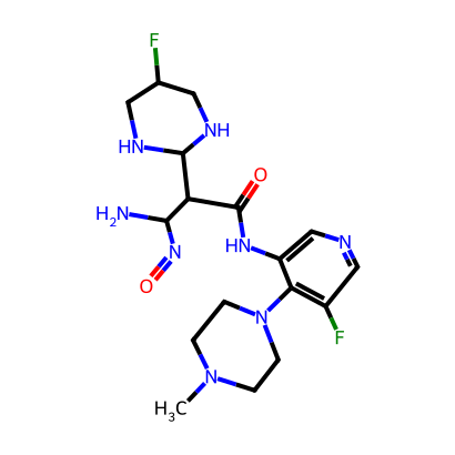 CN1CCN(c2c(F)cncc2NC(=O)C(C(N)N=O)C2NCC(F)CN2)CC1